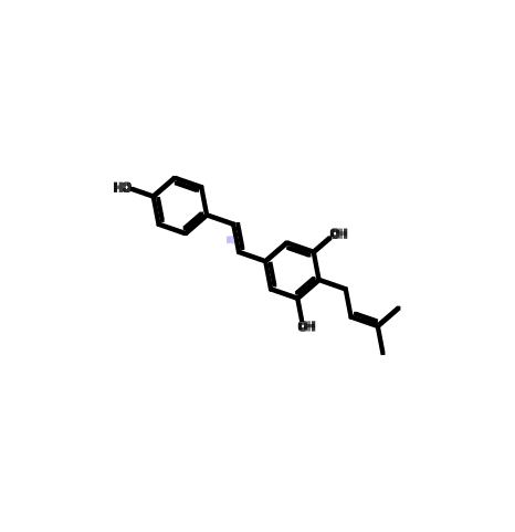 CC(C)=CCc1c(O)cc(/C=C/c2ccc(O)cc2)cc1O